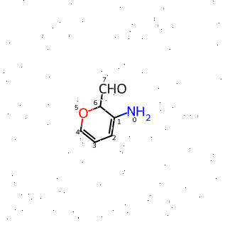 NC1=CC=COC1C=O